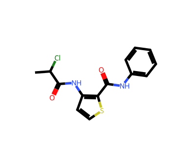 CC(Cl)C(=O)Nc1ccsc1C(=O)Nc1ccccc1